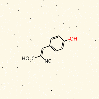 [C-]#[N+]/C(=C\c1ccc(O)cc1)C(=O)O